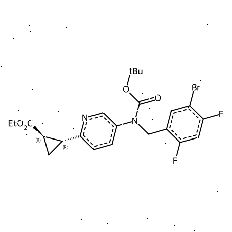 CCOC(=O)[C@@H]1C[C@H]1c1ccc(N(Cc2cc(Br)c(F)cc2F)C(=O)OC(C)(C)C)cn1